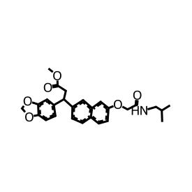 COC(=O)CC(c1ccc2c(c1)OCO2)c1ccc2ccc(OCC(=O)NCC(C)C)cc2c1